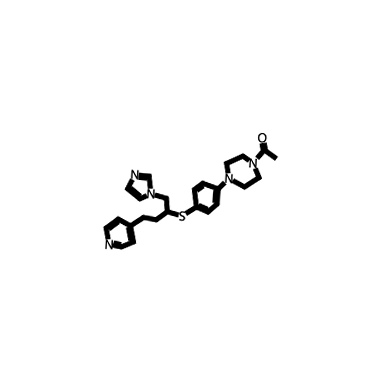 CC(=O)N1CCN(c2ccc(SC(CCc3ccncc3)Cn3ccnc3)cc2)CC1